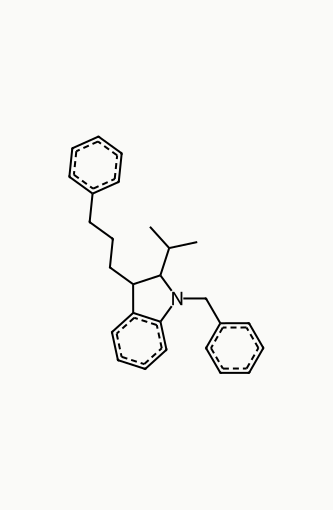 CC(C)C1C(CCCc2ccccc2)c2ccccc2N1Cc1ccccc1